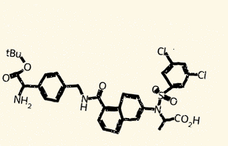 CC(C(=O)O)N(c1ccc2c(C(=O)NCc3ccc(C(N)C(=O)OC(C)(C)C)cc3)cccc2c1)S(=O)(=O)c1cc(Cl)cc(Cl)c1